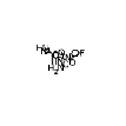 NC(=O)NC(C=O)(CN1CC2=C(C=C(F)CC2)C1=O)c1ccc(-c2cn[nH]c2)cc1